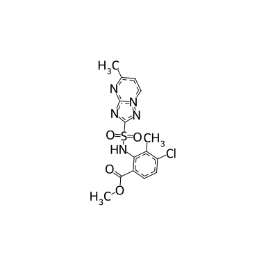 COC(=O)c1ccc(Cl)c(C)c1NS(=O)(=O)c1nc2nc(C)ccn2n1